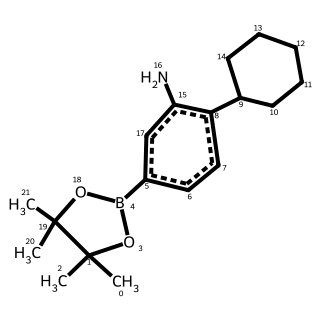 CC1(C)OB(c2ccc(C3CCCCC3)c(N)c2)OC1(C)C